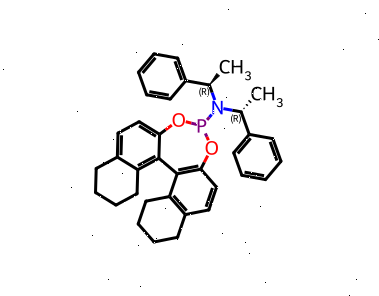 C[C@H](c1ccccc1)N([C@H](C)c1ccccc1)p1oc2ccc3c(c2c2c4c(ccc2o1)CCCC4)CCCC3